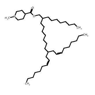 CCCCCC/C=C\CC(C/C=C\CCCCCC)CCCCCCCC(CCCCCCCC)COC(=O)C1CCN(C)CC1